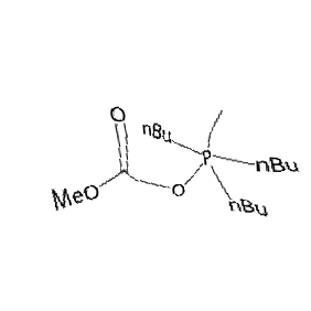 CCCCP(C)(CCCC)(CCCC)OC(=O)OC